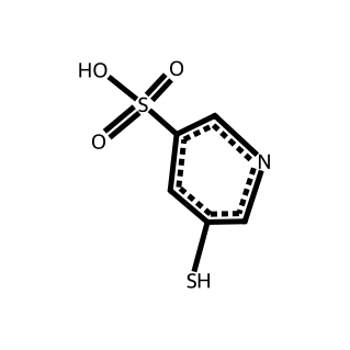 O=S(=O)(O)c1cncc(S)c1